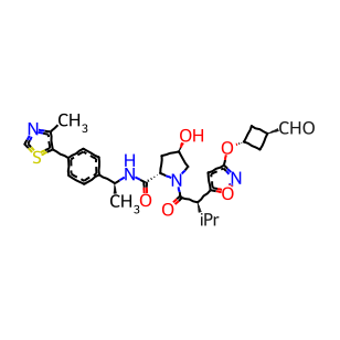 Cc1ncsc1-c1ccc([C@H](C)NC(=O)[C@@H]2C[C@@H](O)CN2C(=O)[C@@H](c2cc(O[C@H]3C[C@H](C=O)C3)no2)C(C)C)cc1